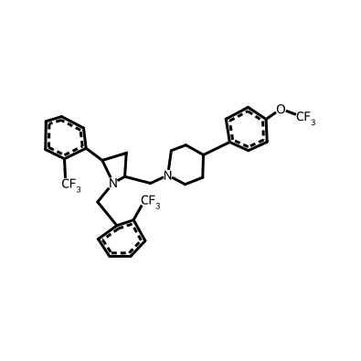 FC(F)(F)Oc1ccc(C2CCN(CC3CC(c4ccccc4C(F)(F)F)N3Cc3ccccc3C(F)(F)F)CC2)cc1